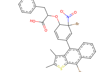 Cc1sc2c(Br)c3ccccc3c(C3=CC(Br)([N+](=O)[O-])C(OC(Cc4ccccc4)C(=O)O)C=C3)c2c1C